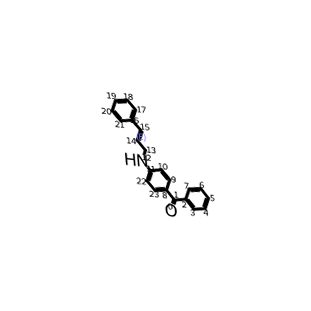 O=C(c1ccccc1)c1ccc(NC/C=C/c2ccccc2)cc1